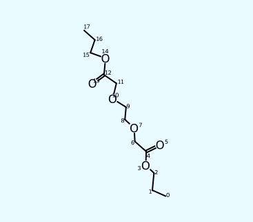 CCCOC(=O)COCCOCC(=O)OCCC